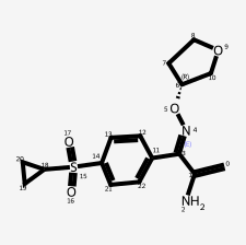 C=C(N)/C(=N/O[C@@H]1CCOC1)c1ccc(S(=O)(=O)C2CC2)cc1